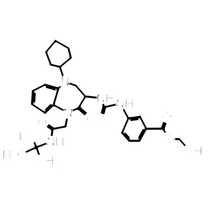 CCOC(=O)c1cccc(NC(=O)NC2CN(C3CCCCC3)c3ccccc3N(CC(=O)NC(C)(C)C)C2=O)c1